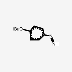 CC(C)COc1ccc(N=N)cc1